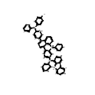 Fc1ccc(N(c2ccccc2)c2ccc(-c3ccc4c5c(cccc35)N(c3ccccc3)c3cc(N(c5ccccc5)c5cccc6c5oc5ccccc56)ccc3-4)cn2)cc1